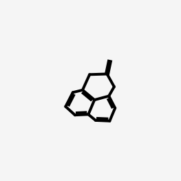 C=C1Cc2cccc3cccc(c23)C1